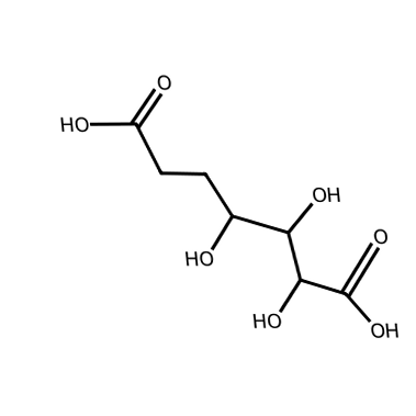 O=C(O)CCC(O)C(O)C(O)C(=O)O